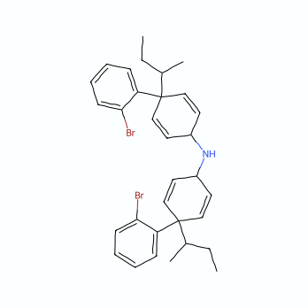 CCC(C)C1(c2ccccc2Br)C=CC(NC2C=CC(c3ccccc3Br)(C(C)CC)C=C2)C=C1